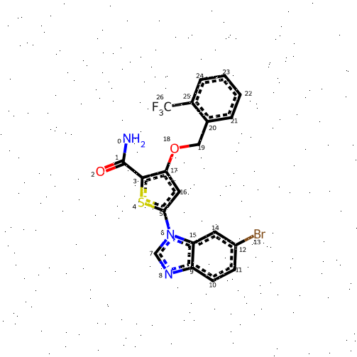 NC(=O)c1sc(-n2cnc3ccc(Br)cc32)cc1OCc1ccccc1C(F)(F)F